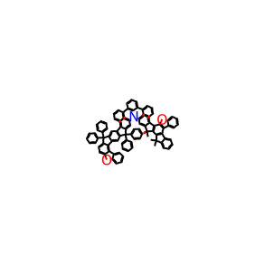 CC1(C)c2cc(N(c3ccc4c(c3)C(c3ccccc3)(c3ccccc3)c3cc5c(cc3-4)C(c3ccccc3)(c3ccccc3)c3ccc4oc6ccccc6c4c3-5)c3c(-c4ccccc4)cccc3-c3ccccc3)ccc2-c2c1c1c(c3c2oc2ccccc23)-c2ccccc2C1(C)C